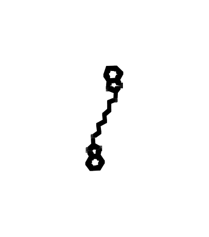 c1ccc2sc(SCCCCCCSc3nc4ccccc4s3)nc2c1